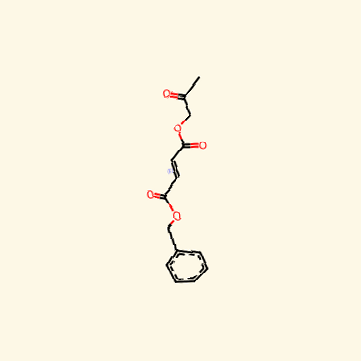 CC(=O)COC(=O)/C=C/C(=O)OCc1ccccc1